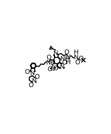 CN1C(=O)CCC(N2Cc3c(CCCCNC(=O)C4=C(CS(C)(=O)=O)c5ccn(C)c(=O)c5C5=C6C4=CN(CC4CC4)C6CC(C(=O)NCCNC(=O)OC(C)(C)C)N5)cccc3C2=O)C1=O